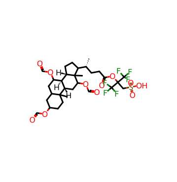 C[C@H](CCC(=O)OC(CS(=O)(=O)O)(C(F)(F)F)C(F)(F)F)C1CC[C@H]2[C@@H]3C(OC=O)CC4CC(OC=O)CCC4(C)[C@H]3CC(OC=O)C12C